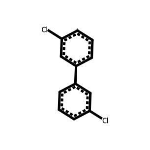 Clc1[c]ccc(-c2cccc(Cl)c2)c1